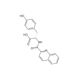 O=C(N[C@@H](Cc1ccc(O)cc1)C(=O)O)c1ccc2ccccc2n1